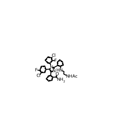 CC(=O)NCCNc1ccccc1-c1nc(-c2ccccc2C(N)=O)c(-c2ccc(F)c(Cl)c2)n1-c1cccc(Cl)c1F